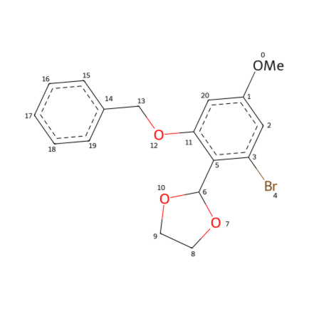 COc1cc(Br)c(C2OCCO2)c(OCc2ccccc2)c1